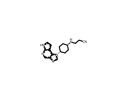 N#CCCN[C@H]1CC[C@H](n2cnc3cnc4[nH]ccc4c32)CC1